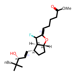 CCCCC(C)(C)[C@H](O)/C=C/[C@H]1CC[C@H]2O/C(=C\CCCC(=O)OC)C(F)[C@H]12